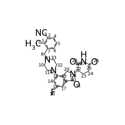 Cc1c(C#N)cccc1CN1CCN(c2cc(F)cc3c2CN(C2CCC(=O)NC2=O)C3=O)CC1